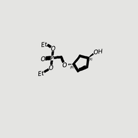 CCOP(=O)(CO[C@H]1C=C[C@H](O)C1)OCC